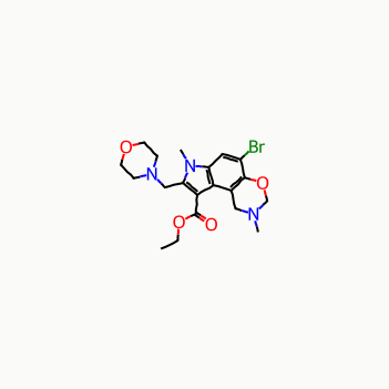 CCOC(=O)c1c(CN2CCOCC2)n(C)c2cc(Br)c3c(c12)CN(C)CO3